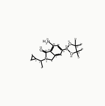 CC(C1CC1)N1Cc2cc(B3OC(C)(C)C(C)(C)O3)cc(N)c2C1=O